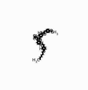 CCCCCCCOc1ccc(Cc2nc3cc(CN(CC(=O)O)C(=O)C4=CCC(NC(=O)Cc5ccc(OC)cc5)C=C4)ccc3[nH]2)cc1